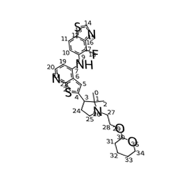 CC1(C)C(c2cc3c(Nc4ccc5scnc5c4F)ccnc3s2)CCN1CCOC1CCCCO1